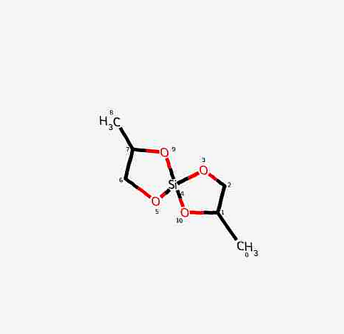 CC1CO[Si]2(OCC(C)O2)O1